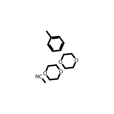 C1COCCO1.C1COCCO1.CC#N.Cc1ccccc1